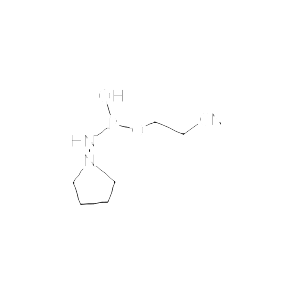 N#CCCOP(O)NN1CCCC1